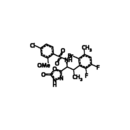 COc1cc(Cl)ccc1S(=O)(=O)N[C@H](c1n[nH]c(=O)o1)C(C)c1c(F)c(F)cc(C)c1Br